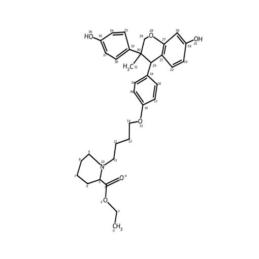 CCOC(=O)C1CCCCN1CCCCOc1ccc(C2c3ccc(O)cc3OCC2(C)c2ccc(O)cc2)cc1